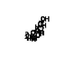 [2H]C([2H])([2H])C(=O)[C@@]1([2H])CC[C@H]2[C@@H]3CC[C@@H]4C[C@H](O)CC[C@]4(C)[C@H]3CC[C@@]21C